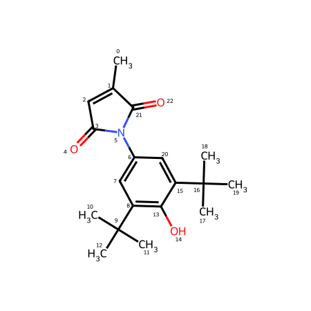 CC1=CC(=O)N(c2cc(C(C)(C)C)c(O)c(C(C)(C)C)c2)C1=O